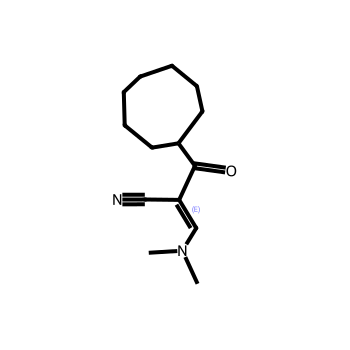 CN(C)/C=C(\C#N)C(=O)C1CCCCCCC1